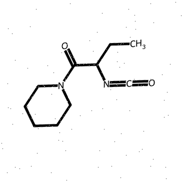 CCC(N=C=O)C(=O)N1CCCCC1